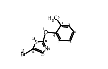 Cc1ccccc1Oc1ncc(Br)s1